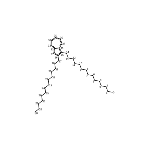 CCCCCCCCCCCCCCCc1c(CCCCCCCCCCCCCC)cc2cccccc1-2